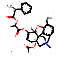 COc1ccc2c3c1O[C@H]1C(OC(=O)C(C)OC(=O)[C@@H](OC(C)=O)c4ccccc4)=CC[C@@]4(OC(=O)C(F)(F)F)C(C2)N(C)CC[C@]314